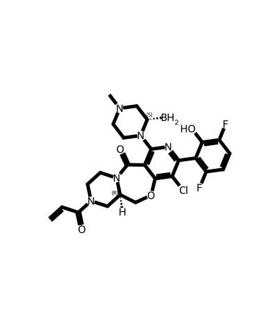 B[C@H]1CN(C)CCN1c1nc(-c2c(F)ccc(F)c2O)c(Cl)c2c1C(=O)N1CCN(C(=O)C=C)C[C@@H]1CO2